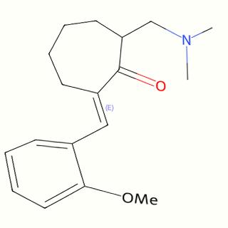 COc1ccccc1/C=C1\CCCCC(CN(C)C)C1=O